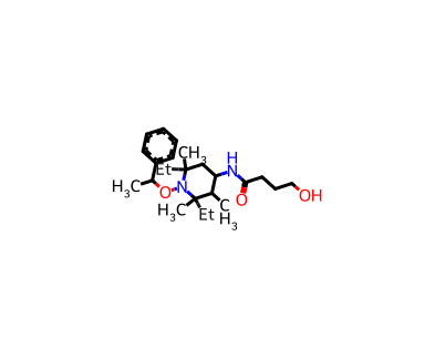 CCC1(C)CC(NC(=O)CCCO)C(C)C(C)(CC)N1OC(C)c1ccccc1